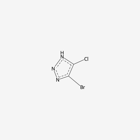 Clc1[nH]nnc1Br